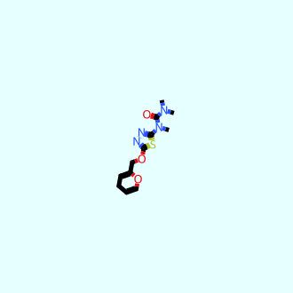 CN(C)C(=O)N(C)c1nnc(OCC2=CCC=CO2)s1